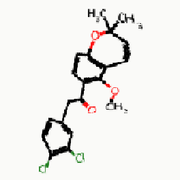 COc1c(C(=O)Cc2ccc(Cl)c(Cl)c2)ccc2c1C=CC(C)(C)O2